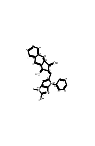 CC(C)c1nc2c(cc(C=C3C(=O)c4cc5ccccc5cc4C3=O)n2-c2ccccc2)n1C